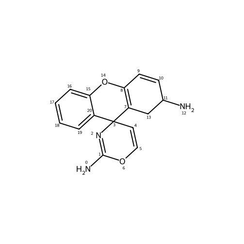 NC1=NC2(C=CO1)C1=C(C=CC(N)C1)Oc1ccccc12